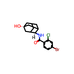 O=C(N[C@H]1C2CC3CC1C[C@](O)(C3)C2)c1ccc(Br)cc1Cl